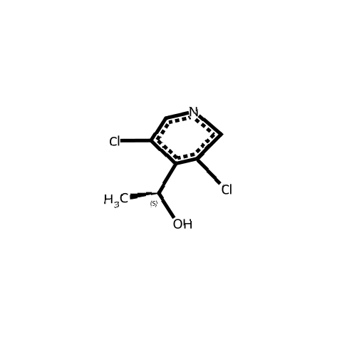 C[C@H](O)c1c(Cl)cncc1Cl